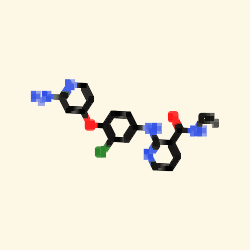 CNC(=O)c1cccnc1Nc1ccc(Oc2ccnc(N)c2)c(Cl)c1